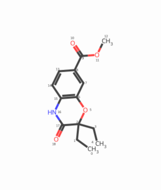 CCC1(CC)Oc2cc(C(=O)OC)ccc2NC1=O